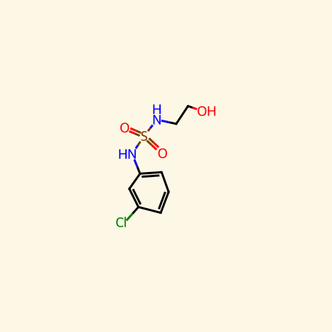 O=S(=O)(NCCO)Nc1cccc(Cl)c1